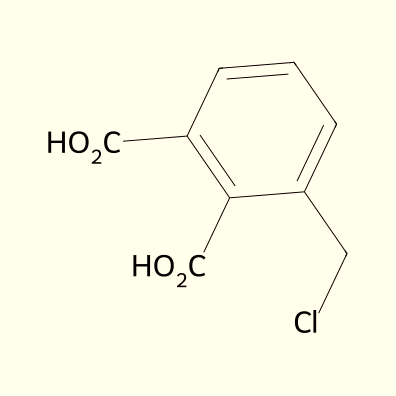 O=C(O)c1cccc(CCl)c1C(=O)O